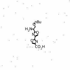 CCCCOCC(N)c1nc(-c2nc(C(=O)O)co2)co1